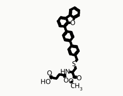 COC(=O)C(CSCc1ccc(-c2ccc(-c3cccc4c3oc3ccccc34)cc2)cc1)NC(=O)CCC(=O)O